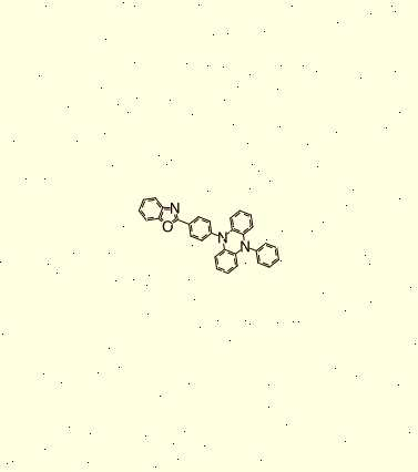 c1ccc(N2c3ccccc3N(c3ccc(-c4nc5ccccc5o4)cc3)c3ccccc32)cc1